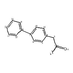 O=C(I)Cc1ccc(-c2ccccc2)cc1